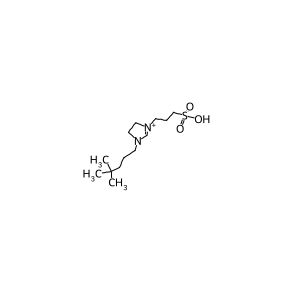 CC(C)(C)CCCN1C=[N+](CCCS(=O)(=O)O)CC1